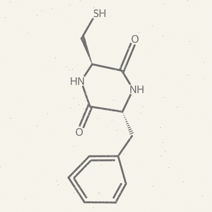 O=C1N[C@H](CC2=C=C=CC=C2)C(=O)N[C@H]1CS